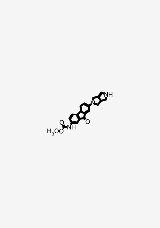 COC(=O)Nc1ccc2c(c1)C(=O)c1cc(N3CC4=CNCC4C3)ccc1-2